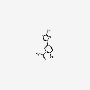 NC(=O)c1cc(-c2csc(S)n2)ccc1O